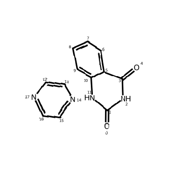 O=c1[nH]c(=O)c2ccccc2[nH]1.c1cnccn1